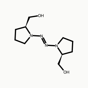 OC[C@@H]1CCCN1N=NN1CCC[C@H]1CO